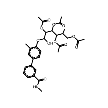 CNC(=O)c1cccc(-c2ccc(OC(O)C(OC(C)=O)C(OC(C)=O)C(OC(C)=O)C(C)COC(C)=O)c(C)c2)c1